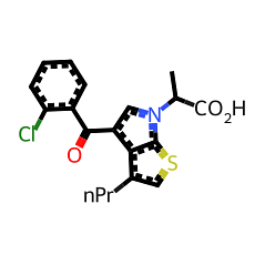 CCCc1csc2c1c(C(=O)c1ccccc1Cl)cn2C(C)C(=O)O